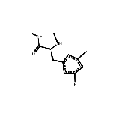 CNC(=O)[C@H](Cc1cc(F)cc(F)c1)NC